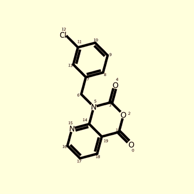 O=c1oc(=O)n(Cc2cccc(Cl)c2)c2ncccc12